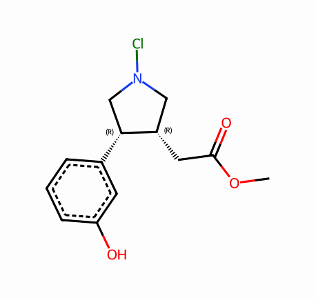 COC(=O)C[C@H]1CN(Cl)C[C@H]1c1cccc(O)c1